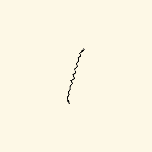 N#CCCCCCCCCCCCCCCCCCC#N